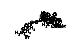 CO[C@H]1C(=O)[C@]2(C)[C@@H](OC)C[C@H]3OC[C@@]3(OC(C)=O)[C@H]2[C@H](OC(=O)c2ccccc2)[C@]2(O)C[C@H](OC(=O)[C@H](OC(=O)COCCOCCO[C@H]3CC[C@@]4(C)C(=CCC5C4CC[C@@]4(C)C5CC[C@@H]4[C@H](C)CCCC(C)C)C3)[C@@H](NC(=O)OC(C)(C)C)c3ccccc3)C(C)=C1C2(C)C